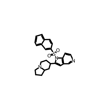 O=S(=O)(c1ccc2ccccc2c1)n1c(C2CCN3CCCC3C2)cc2cnccc21